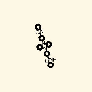 c1ccc2c(c1)NC(c1ccc(N3c4ccccc4N(c4ccc(-c5nc6ccccc6o5)cc4)c4ccccc43)cc1)O2